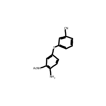 CC(=O)Nc1cc(Sc2cccc(C#N)c2)ccc1N